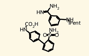 CCC[C@H](C)Nc1cccc(C(=N)N)c1.NS(=O)(=O)c1ccccc1-c1ccc(NC(=O)O)cc1